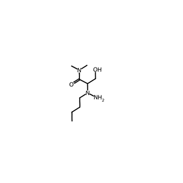 CCCCN(N)C(CO)C(=O)N(C)C